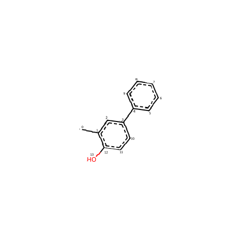 [CH2]c1cc(-c2ccccc2)ccc1O